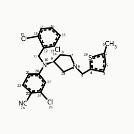 Cc1ccc(CN2CC[C@H](N(Cc3c(Cl)cccc3Cl)c3ccc(C#N)c(Cl)c3)C2)s1